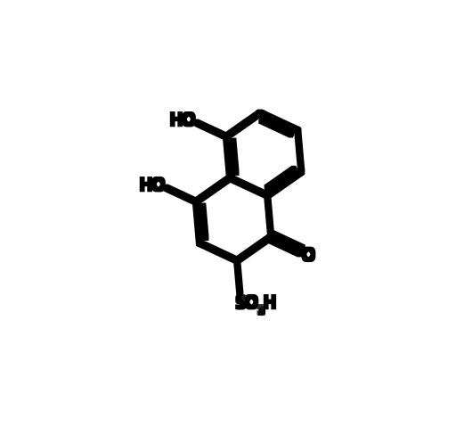 O=C1c2cccc(O)c2C(O)=CC1S(=O)(=O)O